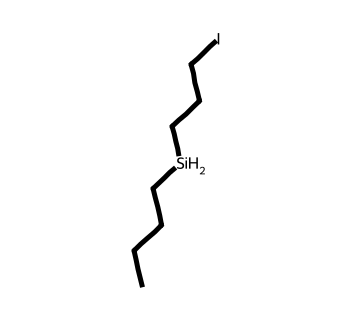 CCCC[SiH2]CCCI